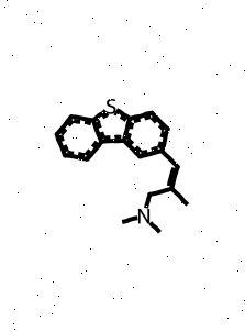 CC(=Cc1ccc2sc3ccccc3c2c1)CN(C)C